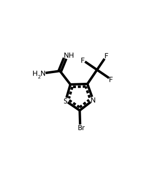 N=C(N)c1sc(Br)nc1C(F)(F)F